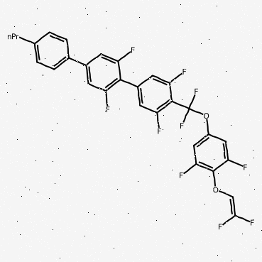 CCCc1ccc(-c2cc(F)c(-c3cc(F)c(C(F)(F)Oc4cc(F)c(OC=C(F)F)c(F)c4)c(F)c3)c(F)c2)cc1